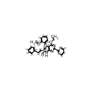 CCOc1nc(-c2ncccn2)nc(NS(=O)(=O)/C=C/c2ccccc2)c1Oc1ccccc1OC